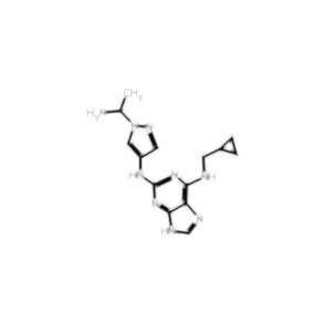 CC(N)n1cc(Nc2nc(NCC3CC3)c3nc[nH]c3n2)cn1